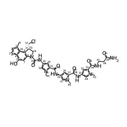 Cc1csc2c(O)cc3c(c12)[C@H](CCl)CN3C(=O)Nc1cc(C(=O)Nc2cc(C(=O)Nc3cc(C(=O)NCCC(N)=O)n(C)c3)n(C)c2)n(C)c1